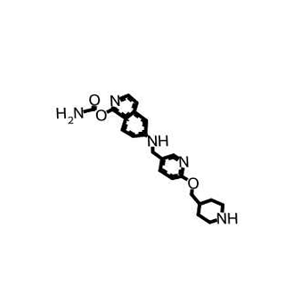 NC(=O)Oc1nccc2cc(NCc3ccc(OCC4CCNCC4)nc3)ccc12